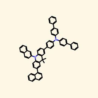 CC1(C)c2cc(-c3ccc(N(c4ccc(-c5ccccc5)cc4)c4ccc(-c5ccccc5)cc4)cc3)ccc2N(c2ccc3ccccc3c2)c2ccc(-c3cccc4ccccc34)cc21